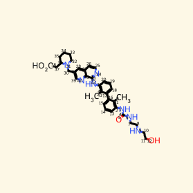 Cc1c(NC(=O)NCCNCCO)cccc1-c1cccc(Nc2nccc3cc(CN4CCCCC4CC(=O)O)cnc23)c1C